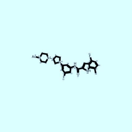 CC(=O)N1CCN([C@@H]2CCN(c3cc(F)cc(NC(=O)c4cc5c(F)ccc(C)c5[nH]4)c3)C2)CC1